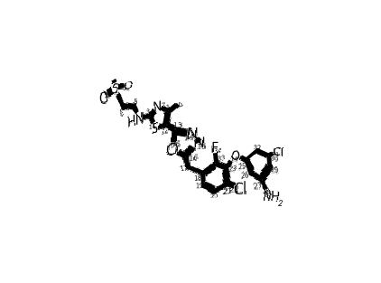 Cc1nc(NCCS(C)(=O)=O)sc1-c1nnc(Cc2ccc(Cl)c(Oc3cc(N)cc(Cl)c3)c2F)o1